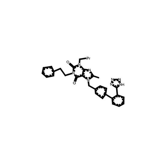 Cc1nc2c(c(=O)n(CCc3ccccc3)c(=O)n2CC(C)C)n1Cc1ccc(-c2ccccc2-c2nnn[nH]2)cc1